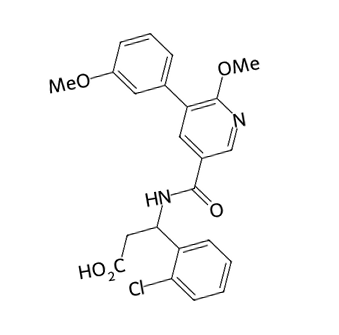 COc1cccc(-c2cc(C(=O)NC(CC(=O)O)c3ccccc3Cl)cnc2OC)c1